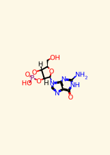 Nc1nc2c(ncn2[C@@H]2O[C@H](CO)[C@H]3OP(=O)(O)O[C@H]32)c(=O)[nH]1